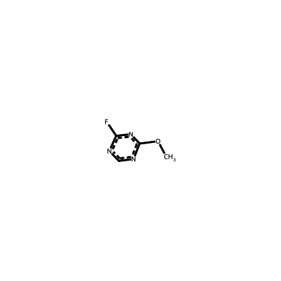 COc1ncnc(F)n1